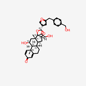 C[C@]12C=CC(=O)C=C1CC[C@@H]1[C@@H]2[C@@H](O)C[C@@]2(C)[C@H]1C[C@H]1O[C@@H](c3coc(Cc4ccc(CO)cc4)c3)O[C@]12C(=O)CO